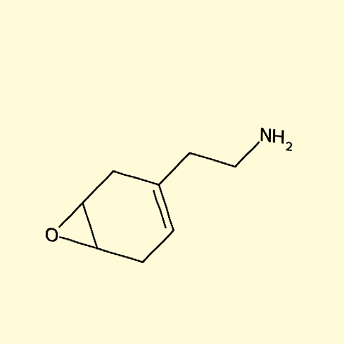 NCCC1=CCC2OC2C1